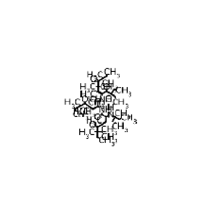 CCC(C)(CC)NC(CC(C)(C)C(=O)C(C)(CC)CC)C(=O)NC(CC(C)(C)C(=O)C(C)(C)CC)C(=O)N/C(C(=O)C(C)(CC)CC)=C(\C)C(C)(C)C(=O)C(C)(C)CC